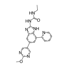 CCNC(=O)Nc1nc2cc(-c3cnc(OC)nc3)cc(-c3ccccn3)c2[nH]1